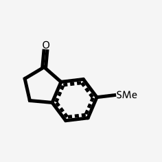 CSc1ccc2c(c1)C(=O)CC2